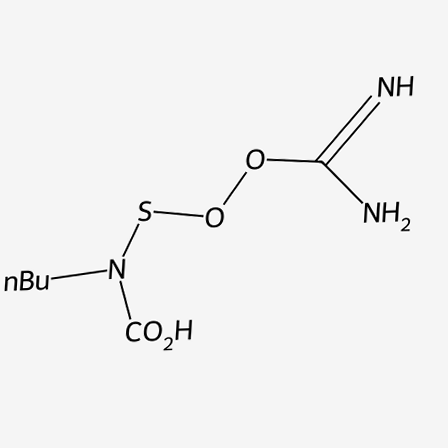 CCCCN(SOOC(=N)N)C(=O)O